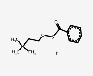 C[N+](C)(C)CCOSC(=O)c1ccccc1.[I-]